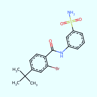 CC(C)(C)c1ccc(C(=O)Nc2cccc(S(N)(=O)=O)c2)c(Br)c1